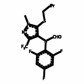 CC(C)CSc1c(N(C=O)c2c(F)cc(F)cc2F)c(C(F)(F)F)nn1C